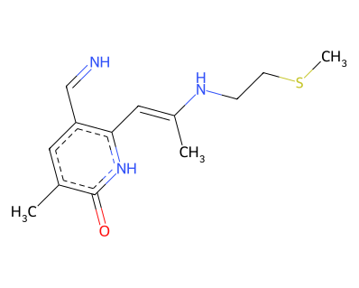 CSCCN/C(C)=C/c1[nH]c(=O)c(C)cc1C=N